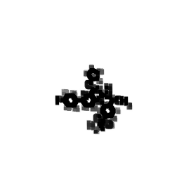 CC(Nc1nc(OC2CCCC2)c2nc(-c3ccc(F)cc3)ccc2n1)c1ccc(S(N)(=O)=O)cc1